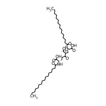 CCCCCCCCCCCCCCCC(=O)N[C@@H](CCC(=O)C([C]=O)C[C@H](NC(=O)CCCCCCCCCCCCCCC)C(=O)O)C(=O)O